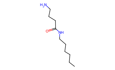 CCCCCCNC(=O)CCCN